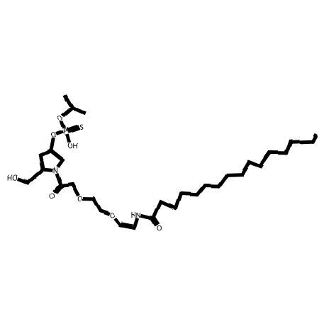 CCCCCCCCCCCCCCCC(=O)N/C=C\OCCOCC(=O)N1CC(OP(O)(=S)OC(C)C)CC1CO